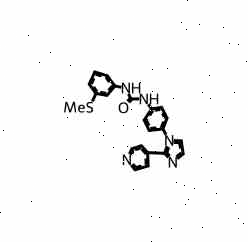 CSc1cccc(NC(=O)Nc2ccc(-n3ccnc3-c3ccncc3)cc2)c1